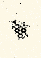 CC(=O)N1c2ccc(C3CCNCC3)cc2[C@H](Nc2ccc(C#N)cc2)[C@@H](C)[C@@H]1C1CC1.O=CO